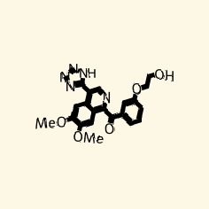 COc1cc2c(-c3nnn[nH]3)cnc(C(=O)c3cccc(OCCO)c3)c2cc1OC